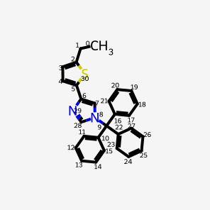 CCc1ccc(-c2cn(C(c3ccccc3)(c3ccccc3)c3ccccc3)cn2)s1